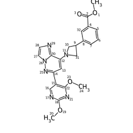 COC(=O)c1cccc(C2CN(c3cc(-c4cnc(OC)nc4OC)nn4ccnc34)C2)c1